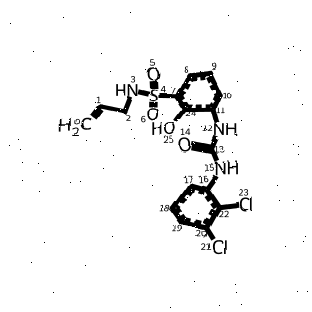 C=CCNS(=O)(=O)c1cccc(NC(=O)Nc2cccc(Cl)c2Cl)c1O